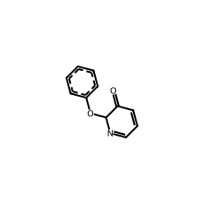 O=C1C=CC=NC1Oc1ccccc1